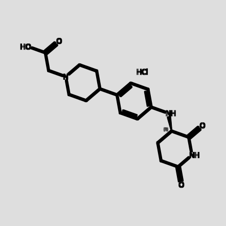 Cl.O=C(O)CN1CCC(c2ccc(N[C@@H]3CCC(=O)NC3=O)cc2)CC1